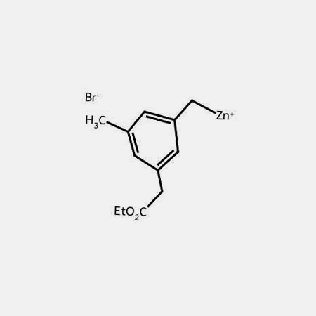 CCOC(=O)Cc1cc(C)cc([CH2][Zn+])c1.[Br-]